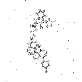 Nc1c(C(=O)c2ccc(F)cc2)ccc(=O)n1-c1c(F)cc(OCCCN[C@@H](Cc2ccccc2)C(=O)OC2CCCC2)cc1F